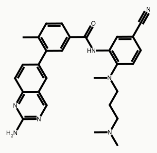 Cc1ccc(C(=O)Nc2cc(C#N)ccc2N(C)CCCN(C)C)cc1-c1ccc2nc(N)ncc2c1